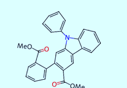 COC(=O)c1ccccc1-c1cc2c(cc1C(=O)OC)c1ccccc1n2-c1ccccc1